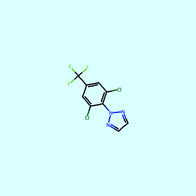 FC(F)(F)c1cc(Cl)c(-n2nccn2)c(Cl)c1